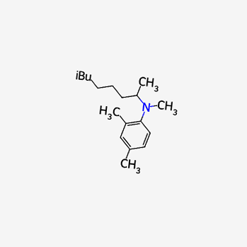 CCC(C)CCCC(C)N(C)c1ccc(C)cc1C